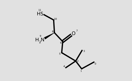 CCC(C)(C)CC(=O)[C@@H](N)CS